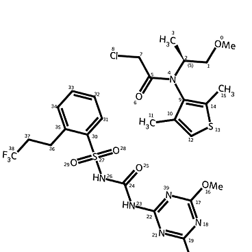 COC[C@H](C)N(C(=O)CCl)c1c(C)csc1C.COc1nc(C)nc(NC(=O)NS(=O)(=O)c2ccccc2CCC(F)(F)F)n1